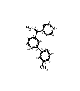 C=C(c1ccncc1)c1ccnc(-c2cc(C)ccn2)c1